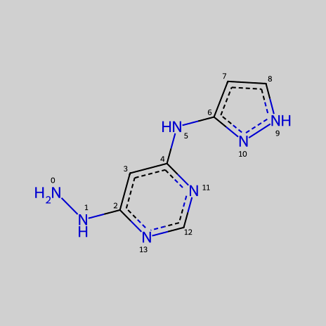 NNc1cc(Nc2cc[nH]n2)ncn1